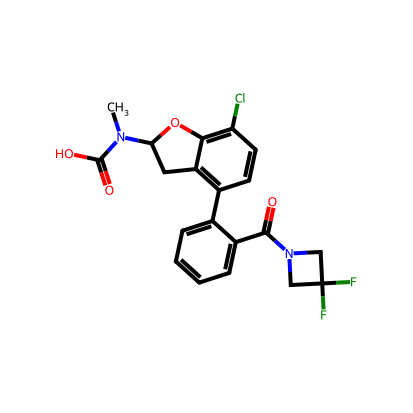 CN(C(=O)O)C1Cc2c(-c3ccccc3C(=O)N3CC(F)(F)C3)ccc(Cl)c2O1